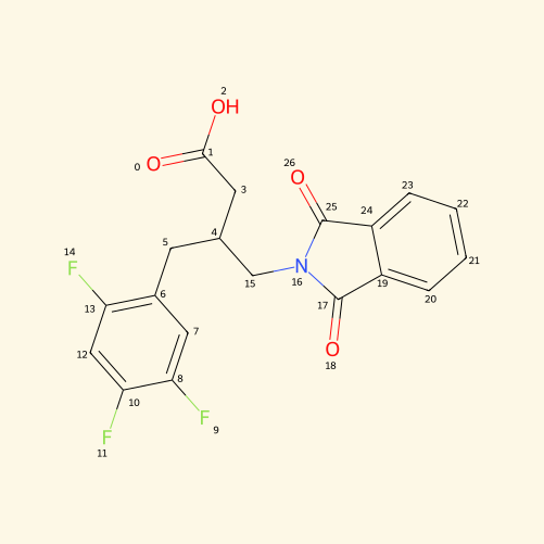 O=C(O)CC(Cc1cc(F)c(F)cc1F)CN1C(=O)c2ccccc2C1=O